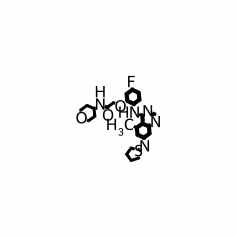 Cc1cc(N=S2CCCC2)cc2ncnc(Nc3ccc(F)cc3OCC(=O)NC3CCOCC3)c12